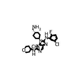 CC1(Nc2ncc3nc(Nc4cc(Cl)ccc4F)n([C@H]4CC[C@@H](CN)CC4)c3n2)CCOCC1